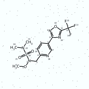 CON(Cc1ccc(-c2noc(C(F)(F)F)n2)cn1)S(=O)(=O)N(C)C